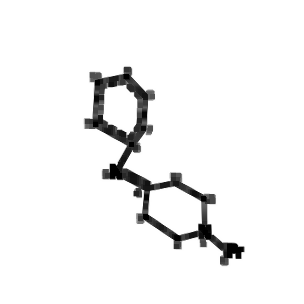 CC(C)N1CCC(=Nc2ccccc2)CC1